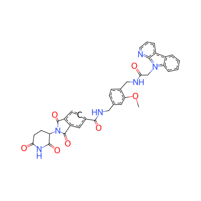 COc1cc(CNC(=O)c2ccc3c(c2)C(=O)N(C2CCC(=O)NC2=O)C3=O)ccc1CNC(=O)Cn1c2ccccc2c2cccnc21